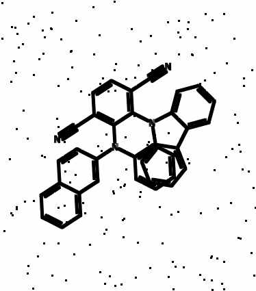 N#Cc1ccc(C#N)c(-n2c3ccccc3c3ccccc32)c1N(c1ccccc1)c1ccc2ccccc2c1